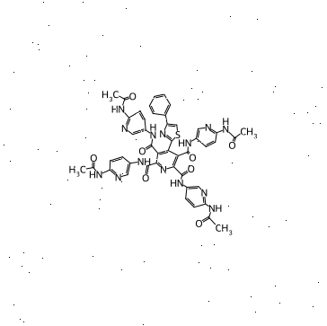 CC(=O)Nc1ccc(NC(=O)c2nc(C(=O)Nc3ccc(NC(C)=O)nc3)c(C(=O)Nc3ccc(NC(C)=O)nc3)c(-c3nc(-c4ccccc4)cs3)c2C(=O)Nc2ccc(NC(C)=O)nc2)cn1